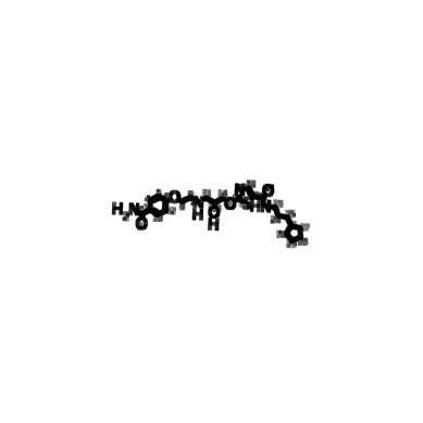 NC(=O)c1ccc(OCCNCC(O)COc2ncc(C(=O)NCCCC3CCCC3)s2)cc1